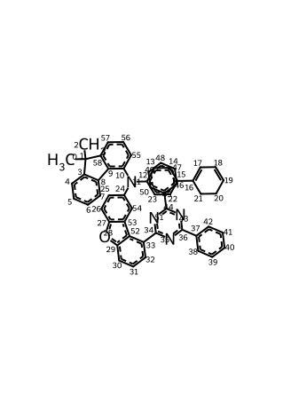 CC1(C)c2ccccc2-c2c(N(c3ccc(C4=CC=CCC4)cc3)c3ccc4oc5cccc(-c6nc(-c7ccccc7)nc(-c7ccccc7)n6)c5c4c3)cccc21